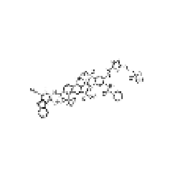 Cc1c(N=Nc2ccc3c(O)c(N=Nc4cc(NC(=O)c5ccccc5)c(N=Nc5nnc(SCCS(=O)(=O)O)s5)cc4S(=O)(=O)O)c(S(=O)(=O)O)cc3c2S(=O)(=O)O)c(O)n2c(nc3ccccc32)c1C#N